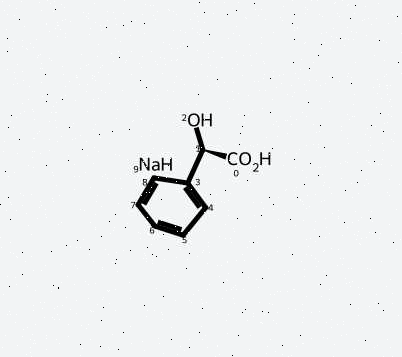 O=C(O)[C@H](O)c1ccccc1.[NaH]